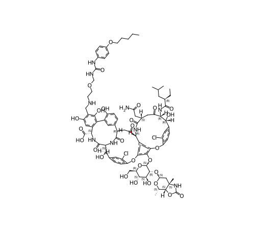 CCCCCOc1ccc(NC(=O)NCOCCNCc2c(O)cc3c(c2O)-c2cc(ccc2O)[C@H]2CC(=O)[C@@H]4NC(=O)[C@H](CC(N)=O)CC(=O)[C@H](NC(=O)[C@H](CC)CC(C)C)[C@H](O)c5ccc(c(Cl)c5)Oc5cc4cc(c5O[C@@H]4O[C@H](CO)[C@@H](O)[C@H](O)[C@H]4O[C@H]4C[C@]5(C)NC(=O)O[C@@H]5[C@H](C)O4)Oc4ccc(cc4Cl)[C@@H](O)[C@H](NC2=O)C(=O)N[C@@H]3C(=O)O)cc1